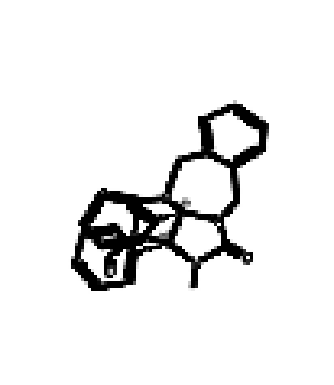 CN1C(=O)N2Cc3ccccc3CN3C(=O)N(C=O)[C@@]1(c1ccccc1)[C@]23c1ccccc1